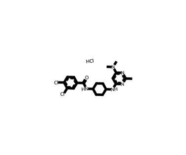 Cc1nc(NC2CCC(NC(=O)c3ccc(Cl)c(Cl)c3)CC2)cc(N(C)C)n1.Cl